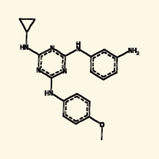 COc1ccc(Nc2nc(Nc3cccc(N)c3)nc(NC3CC3)n2)cc1